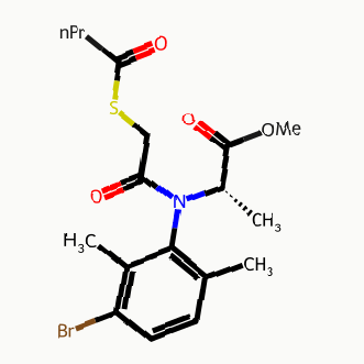 CCCC(=O)SCC(=O)N(c1c(C)ccc(Br)c1C)[C@@H](C)C(=O)OC